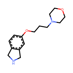 c1cc2c(cc1OCCCN1CCOCC1)CNC2